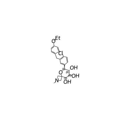 CCOc1ccc(Cc2cc([C@@H]3OC4(CN(C)C4)[C@@H](O)[C@H](O)[C@H]3O)ccc2Cl)cc1